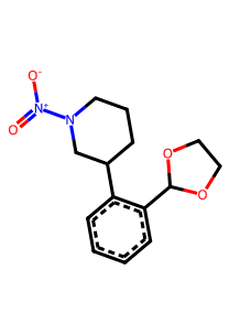 O=[N+]([O-])N1CCCC(c2ccccc2C2OCCO2)C1